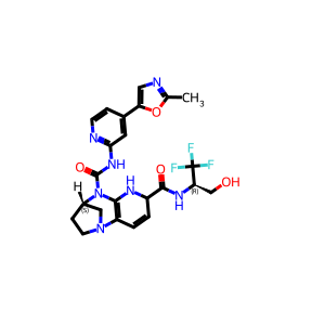 Cc1ncc(-c2ccnc(NC(=O)N3C4=C(C=CC(C(=O)N[C@H](CO)C(F)(F)F)N4)N4CC[C@H]3C4)c2)o1